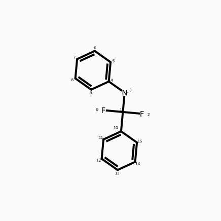 FC(F)([N]c1ccccc1)c1ccccc1